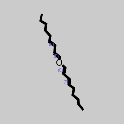 CCCCC/C=C/C=C/O/C=C/C=C/CCCCC